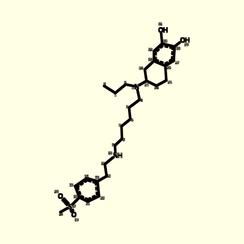 CCCN(CCCCCCNCCc1ccc(S(C)(=O)=O)cc1)C1CCc2cc(O)c(O)cc2C1